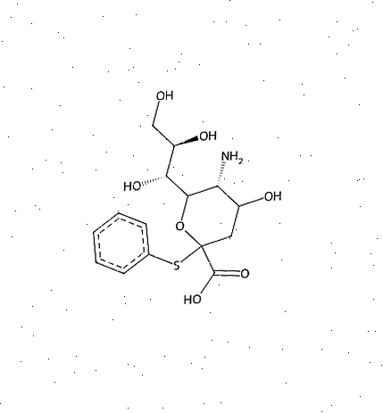 N[C@@H]1C(O)CC(Sc2ccccc2)(C(=O)O)OC1[C@H](O)[C@H](O)CO